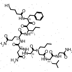 CCCCN(CC(=O)N[C@@H](CC(C)C)C(=O)NCC(N)=O)C(=O)[C@H](C)NN[C@@H](CC(N)=O)C(=O)N[C@@H](CCC(N)=O)C(=O)NC(C(=O)C(=O)[C@H](Cc1ccccc1)NC(=O)CCCS)[C@@H](C)CC